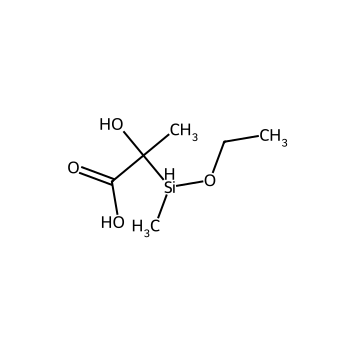 CCO[SiH](C)C(C)(O)C(=O)O